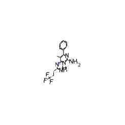 Cc1c(-c2ccccc2)nc(N)[nH]/c1=N\C(=N)CCC(F)(F)F